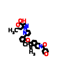 CCCc1c(C(=O)O)cnn1-c1cccc(C2=CCCC(C)=C2OCc2ccc3c(c2C)CCN(C(=O)C2CCOCC2)C3)n1